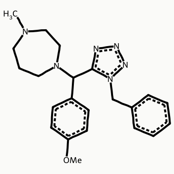 COc1ccc(C(c2nnnn2Cc2ccccc2)N2CCCN(C)CC2)cc1